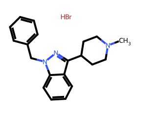 Br.CN1CCC(c2nn(Cc3ccccc3)c3ccccc23)CC1